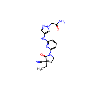 CC[C@]1(C#N)CCN(c2cccc(Nc3cnn(CC(N)=O)c3)n2)C1=O